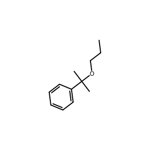 CCCOC(C)(C)c1ccccc1